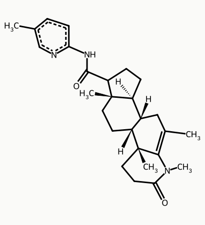 CC1=C2N(C)C(=O)CC[C@]2(C)[C@@H]2CC[C@]3(C)C(C(=O)Nc4ccc(C)cn4)CC[C@H]3[C@@H]2C1